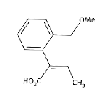 CC=C(C(=O)O)c1ccccc1COC